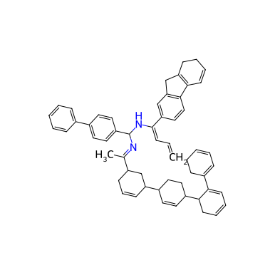 C=C/C=C(/NC(/N=C(\C)C1CC=CC(C2C=CC(C3CC=CC=C3C3=CC=CCC3)CC2)C1)c1ccc(-c2ccccc2)cc1)c1ccc2c(c1)CC1=C2C=CCC1